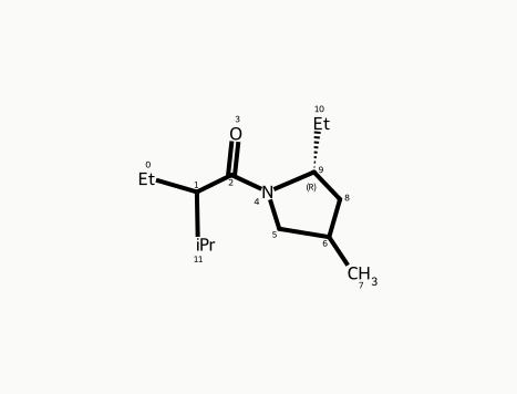 CCC(C(=O)N1CC(C)C[C@H]1CC)C(C)C